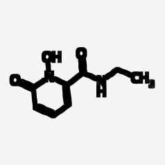 CCNC(=O)c1cccc(=O)n1O